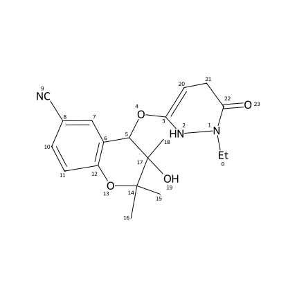 CCN1NC(OC2c3cc(C#N)ccc3OC(C)(C)C2(C)O)=CCC1=O